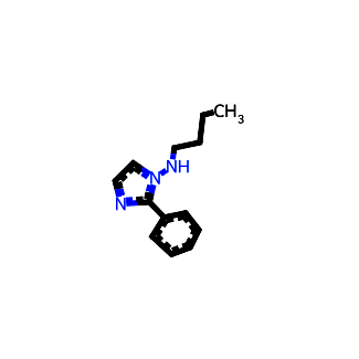 CCCCNn1ccnc1-c1ccccc1